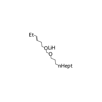 [CH2]C/C=C/CCOCOCCCCCCCCCC.[LiH]